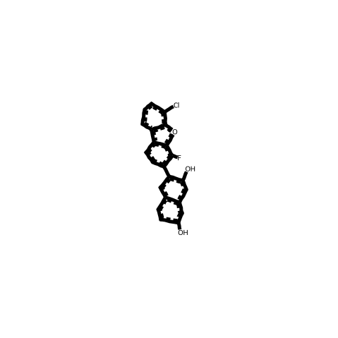 Oc1ccc2cc(-c3ccc4c(oc5c(Cl)cccc54)c3F)c(O)cc2c1